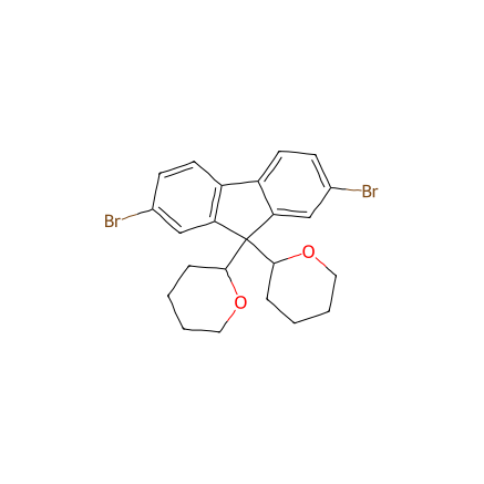 Brc1ccc2c(c1)C(C1CCCCO1)(C1CCCCO1)c1cc(Br)ccc1-2